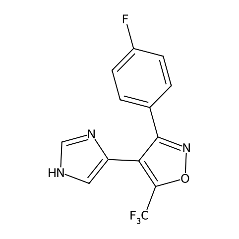 Fc1ccc(-c2noc(C(F)(F)F)c2-c2c[nH]cn2)cc1